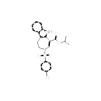 CC(C)OC(=O)C1=CN(S(=O)(=O)c2ccc(Cl)cc2)CCc2c1[nH]c1ccccc21